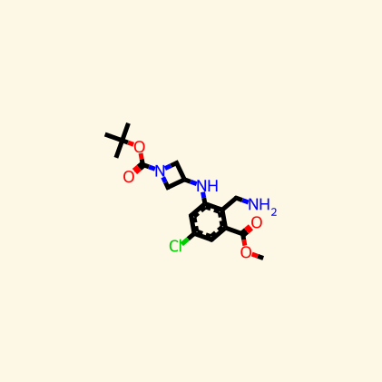 COC(=O)c1cc(Cl)cc(NC2CN(C(=O)OC(C)(C)C)C2)c1CN